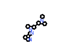 c1ccc(-n2c3ccccc3c3cc(-c4ccc5c(c4)c4ccccc4n5-c4cc5c(cn4)-c4nccc6cccc-5c46)ccc32)cc1